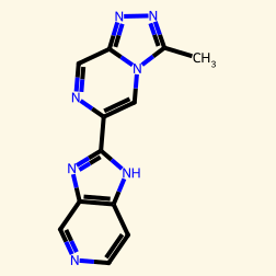 Cc1nnc2cnc(-c3nc4cnccc4[nH]3)cn12